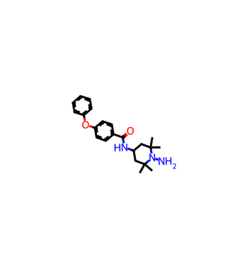 CC1(C)CC(NC(=O)c2ccc(Oc3ccccc3)cc2)CC(C)(C)N1N